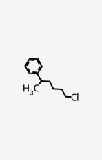 C[C](CCCCCl)c1ccccc1